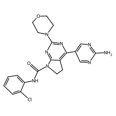 Nc1ncc(-c2nc(N3CCOCC3)nc3c2CCN3C(=O)Nc2ccccc2Cl)cn1